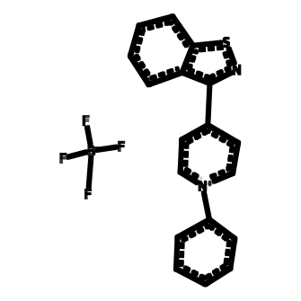 F[B-](F)(F)F.c1ccc(-[n+]2ccc(-c3nsc4ccccc34)cc2)cc1